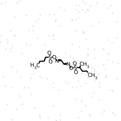 CCCCS(=O)(=O)ON=CC=NOS(=O)(=O)C(C)CCC